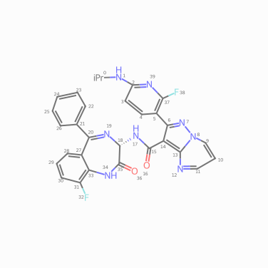 CC(C)Nc1ccc(-c2nn3cccnc3c2C(=O)N[C@H]2N=C(c3ccccc3)c3cccc(F)c3NC2=O)c(F)n1